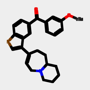 CCCCOc1cccc(C(=O)c2ccc3scc(C4=CCN5CCCCC5CC4)c3c2)c1